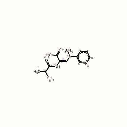 C=C(C)/C(=C\N(C)c1cccnc1)NC(=O)C(C)C